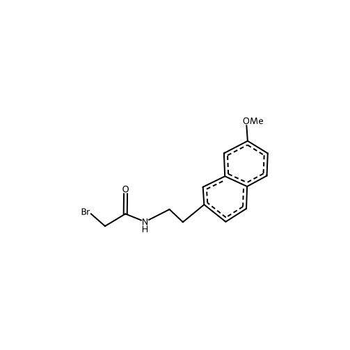 COc1ccc2ccc(CCNC(=O)CBr)cc2c1